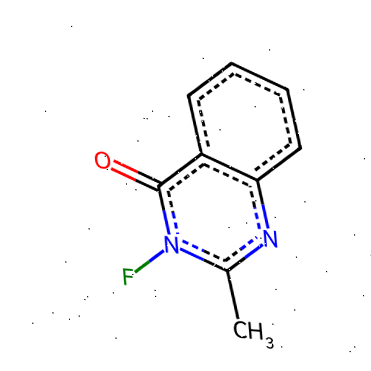 Cc1nc2ccccc2c(=O)n1F